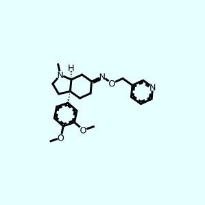 COc1ccc([C@@]23CC/C(=N\OCc4cccnc4)C[C@@H]2N(C)CC3)cc1OC